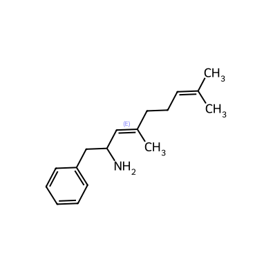 CC(C)=CCC/C(C)=C/C(N)Cc1ccccc1